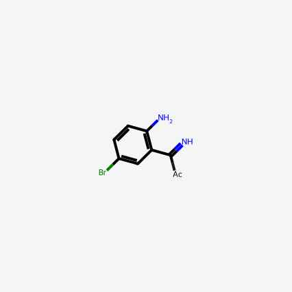 CC(=O)C(=N)c1cc(Br)ccc1N